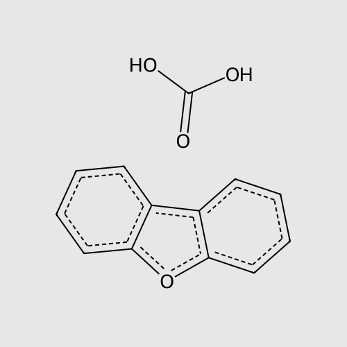 O=C(O)O.c1ccc2c(c1)oc1ccccc12